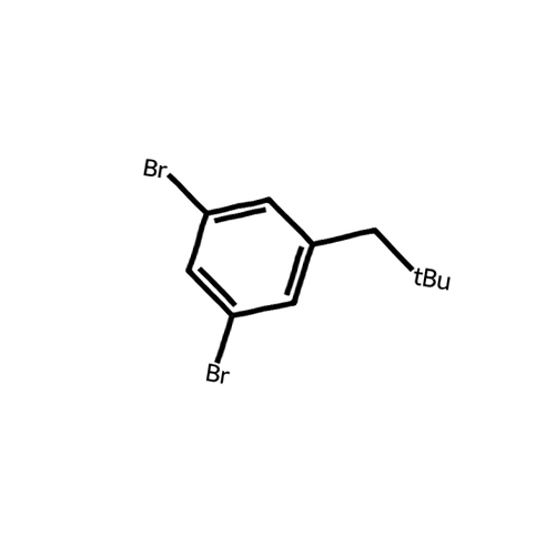 CC(C)(C)Cc1cc(Br)cc(Br)c1